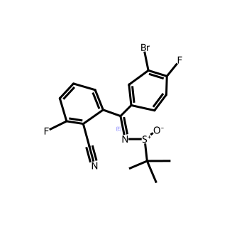 CC(C)(C)[S+]([O-])/N=C(\c1ccc(F)c(Br)c1)c1cccc(F)c1C#N